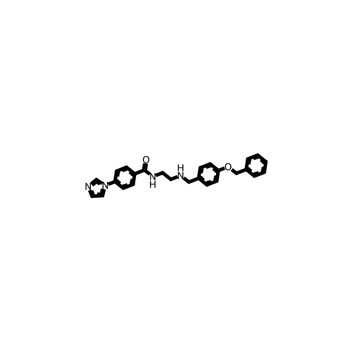 O=C(NCCNCc1ccc(OCc2ccccc2)cc1)c1ccc(-n2ccnc2)cc1